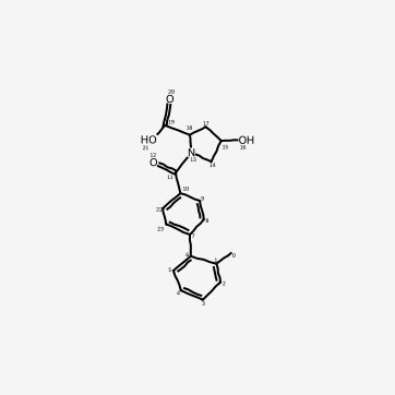 Cc1ccccc1-c1ccc(C(=O)N2CC(O)CC2C(=O)O)cc1